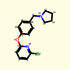 Brc1cccc(Oc2ccc(CN3CCCC3)cc2)n1